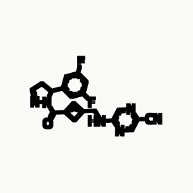 N#Cc1cnc(NCC23CC(C(=O)N4N=CCC4c4cc(F)cc(F)c4)(C2)C3)cn1